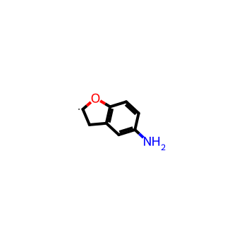 Nc1ccc2c(c1)C[CH]O2